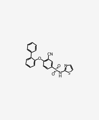 N#Cc1cc(S(=O)(=O)Nc2nccs2)ccc1Oc1ccccc1-c1ccccc1